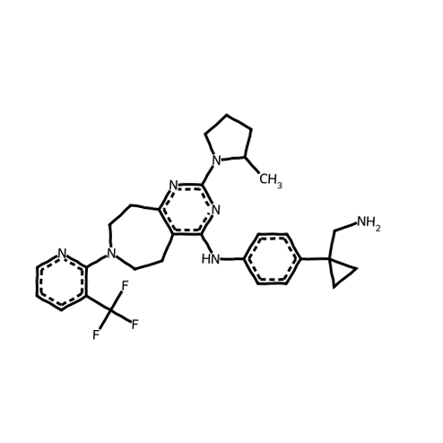 CC1CCCN1c1nc2c(c(Nc3ccc(C4(CN)CC4)cc3)n1)CCN(c1ncccc1C(F)(F)F)CC2